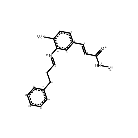 CNc1ccc(/C=C/C(=O)NO)cc1/N=C/CCc1ccccc1